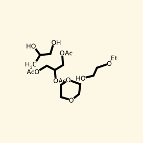 C1COCCO1.CC(=O)OCC(COC(C)=O)OC(C)=O.CC(O)CO.CCOCCO